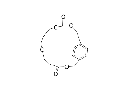 O=C1CCCCCCCC(=O)OCc2ccc(cc2)CO1